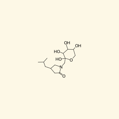 CC(C)CC1CC(=O)N(CC2(O)OCC(O)C(O)C2O)C1